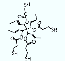 CC=CC(OC(=O)CCS)C(C(C=CC)OC(=O)CCS)(C(C=CC)OC(=O)CCS)C(C=CC)OC(=O)CCS